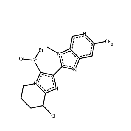 CC[S+]([O-])c1c(-c2nc3cc(C(F)(F)F)ncc3n2C)nc2n1CCCC2Cl